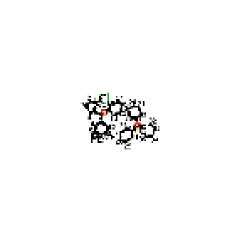 Clc1ccc[c-]1P(c1ccccc1)c1ccccc1.[Fe+2].c1ccc(P(c2ccccc2)[c-]2cccc2)cc1